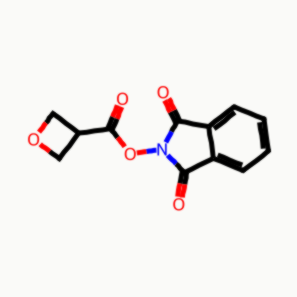 O=C(ON1C(=O)c2ccccc2C1=O)C1COC1